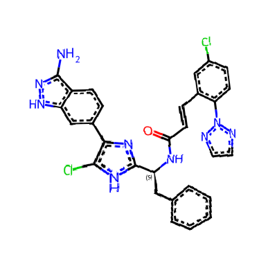 Nc1n[nH]c2cc(-c3nc([C@H](Cc4ccccc4)NC(=O)C=Cc4cc(Cl)ccc4-n4nccn4)[nH]c3Cl)ccc12